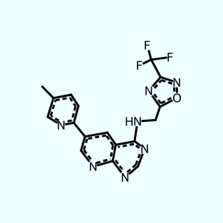 Cc1ccc(-c2cnc3ncnc(NCc4nc(C(F)(F)F)no4)c3c2)nc1